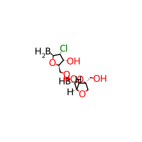 B[C@@H]1O[C@H](COB[C@@H]2O[C@@]3(CO)CO[C@@H]2[C@@H]3O)[C@@H](O)[C@H]1Cl